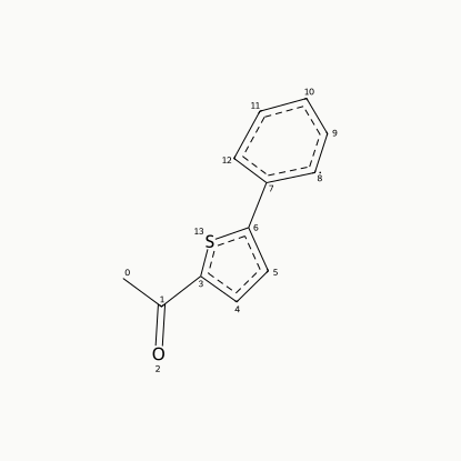 CC(=O)c1ccc(-c2[c]cccc2)s1